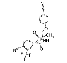 C[C@@]1(COc2ccc(C#N)cc2)NC(=O)N(c2ccc(C#N)c(C(F)(F)F)c2)C1=O